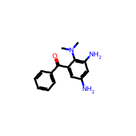 CN(C)c1c(N)cc(N)cc1C(=O)c1ccccc1